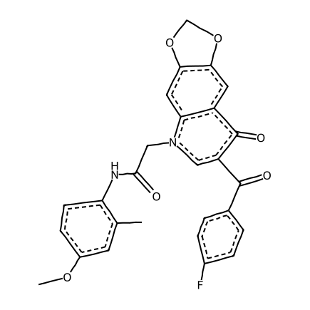 COc1ccc(NC(=O)Cn2cc(C(=O)c3ccc(F)cc3)c(=O)c3cc4c(cc32)OCO4)c(C)c1